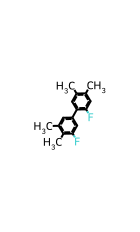 Cc1cc(F)c(-c2cc(C)c(C)c(F)c2)cc1C